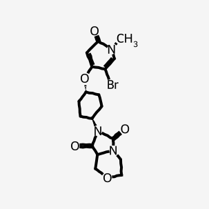 Cn1cc(Br)c(O[C@H]2CC[C@H](N3C(=O)C4COCCN4C3=O)CC2)cc1=O